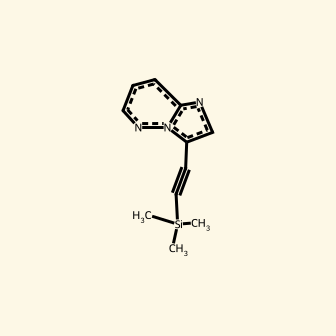 C[Si](C)(C)C#Cc1cnc2cccnn12